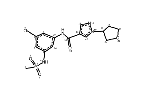 CS(=O)(=O)Nc1cc(Cl)cc(NC(=O)c2cnn(C3CCOC3)c2)c1